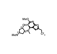 CN[C@H]1C[C@@H](O)[C@@H](N(C)c2nc(OC)nc3sc(CC(F)(F)F)cc23)C1